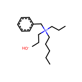 CCCCC[N+](CCC)(CCC)Cc1ccccc1.[OH-]